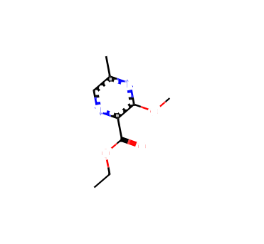 CCOC(=O)c1ncc(C)nc1OC